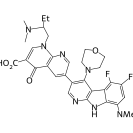 CCC(Cn1cc(C(=O)O)c(=O)c2cc(-c3cnc4[nH]c5c(NC)cc(F)c(F)c5c4c3N3CCOCC3)cnc21)N(C)C